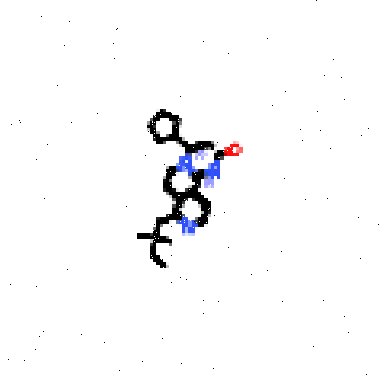 C/C=C(/C1CCCC1)n1ccc2c(CC(C)(C)CC)nccc2/c1=N/C=O